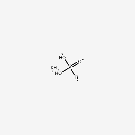 O=[P](O)(O)[Ti].[KH]